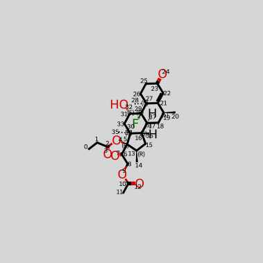 CCC(=O)O[C@]1(C(=O)COC(C)=O)[C@H](C)C[C@H]2[C@@H]3C[C@H](C)C4=CC(=O)CC[C@]4(C)[C@@]3(F)[C@@H](O)C[C@@]21C